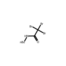 CCCCNC(=O)C(Br)(Br)Br